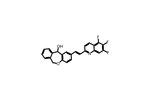 OC1c2ccccc2COc2ccc(C=Cc3ccc4c(F)c(F)c(F)cc4n3)cc21